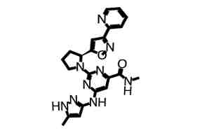 CNC(=O)c1cc(Nc2cc(C)[nH]n2)nc(N2CCC[C@H]2c2cc(-c3ccccn3)no2)n1